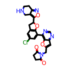 O=C1CCC(=O)N1Cc1cc2ncnc(-c3cc(Cl)cc4c3OC(c3onc5c3CNCC5)C4)c2o1